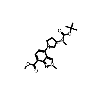 COC(=O)c1ccc(N2CC[C@@H](N(C)C(=O)OC(C)(C)C)C2)c2cn(C)nc12